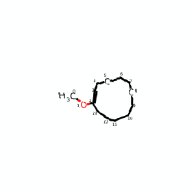 COC1=CCCCCCCCCCC1